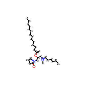 C=C(CCCCCCCCCCCCC)OC(CN(C)CCCCCC)CN1CCCC1=O